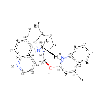 CCC1C[N@@]2CCC1C[C@@H]2[C@@H](Oc1cc(C)c2ccccc2n1)c1ccnc2ccc(C)cc12